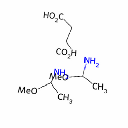 COC(C)N.COC(C)N.O=C(O)CCC(=O)O